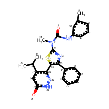 Cc1cccc(NC(=O)N(C)c2nc(-c3ccccc3)c(-c3n[nH]c(=O)cc3C(C)C)s2)c1